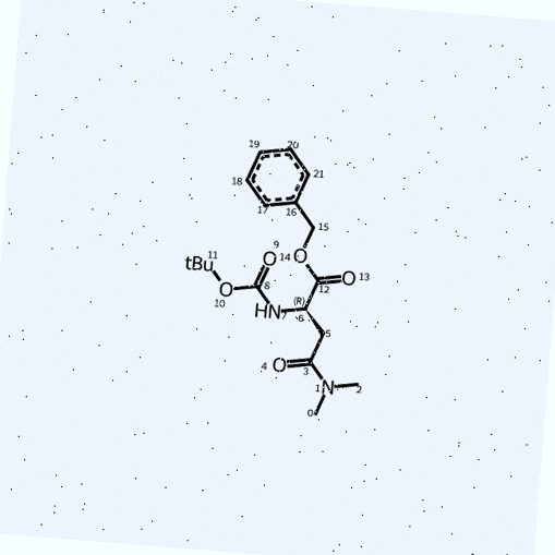 CN(C)C(=O)C[C@@H](NC(=O)OC(C)(C)C)C(=O)OCc1ccccc1